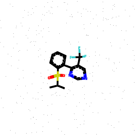 CC(C)S(=O)(=O)c1ccccc1-c1ncncc1C(F)(F)F